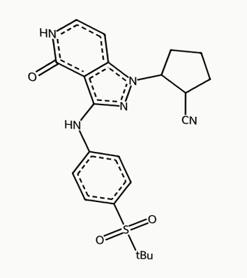 CC(C)(C)S(=O)(=O)c1ccc(Nc2nn(C3CCCC3C#N)c3cc[nH]c(=O)c23)cc1